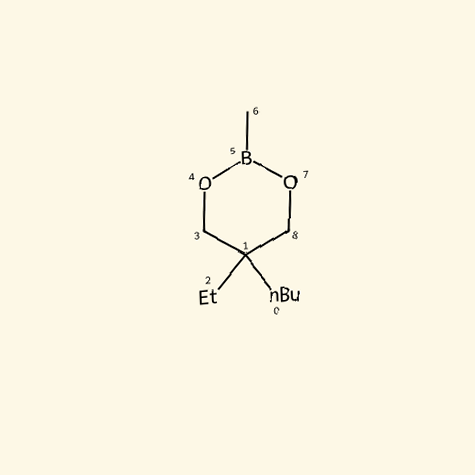 CCCCC1(CC)COB(C)OC1